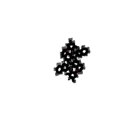 Cc1cc(C)c(B2c3cc4c(cc3N3c5cc6ccccc6c6c5N(c5cc7c(cc5B6c5c(C)cc(C)cc5C)CCCC7)c5cc6ccccc6c2c53)CCCC4)c(C)c1